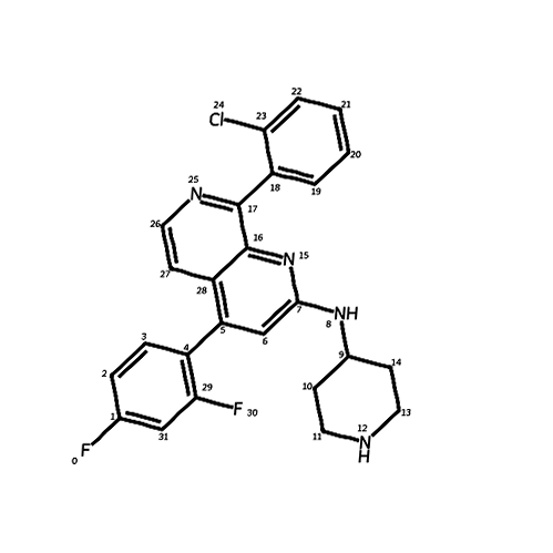 Fc1ccc(-c2cc(NC3CCNCC3)nc3c(-c4ccccc4Cl)nccc23)c(F)c1